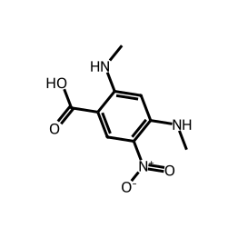 CNc1cc(NC)c([N+](=O)[O-])cc1C(=O)O